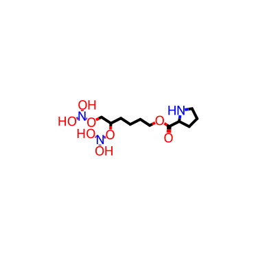 O=C(OCCCCC(CON(O)O)ON(O)O)C1CCCN1